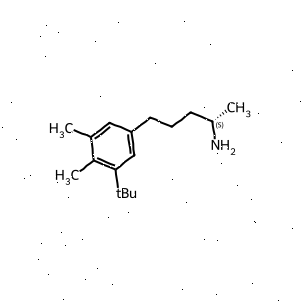 Cc1cc(CCC[C@H](C)N)cc(C(C)(C)C)c1C